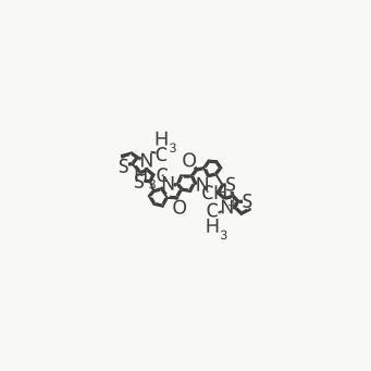 CCn1c2ccsc2c2sc(-c3cccc4c(=O)c5cc6c(cc5n(C)c34)c(=O)c3cccc(-c4cc5c(s4)c4sccc4n5CC)c3n6C)cc21